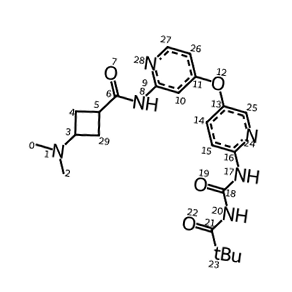 CN(C)C1CC(C(=O)Nc2cc(Oc3ccc(NC(=O)NC(=O)C(C)(C)C)nc3)ccn2)C1